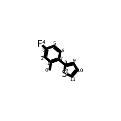 Cc1cc(F)ccc1-c1cccs1